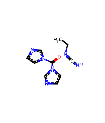 CCN=C=N.O=C(n1ccnc1)n1ccnc1